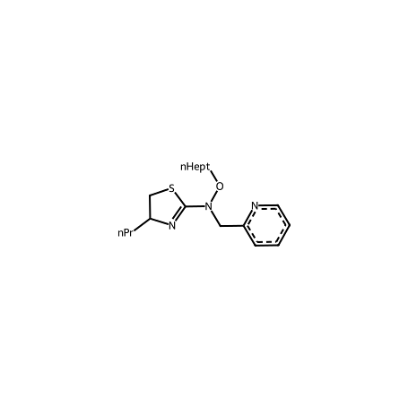 CCCCCCCON(Cc1ccccn1)C1=NC(CCC)CS1